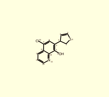 Oc1c(C2C=CSC2)cc(Cl)c2cccnc12